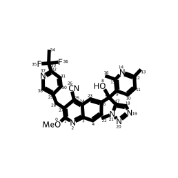 COc1nc2ccc(C(O)(c3ccc(C)nc3C)c3cnnn3C)cc2c(C#N)c1Cc1ccc(C(C)(F)F)nc1